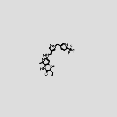 CC[C@H]1C(=O)Nc2c(cc(NCc3cnn(Cc4ccc(C(F)(F)F)nc4)c3)nc2C)N1C